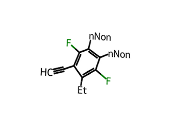 C#Cc1c(F)c(CCCCCCCCC)c(CCCCCCCCC)c(F)c1CC